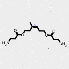 C/C(=C/CCOC(=O)CCN)CCOC(=O)CCN